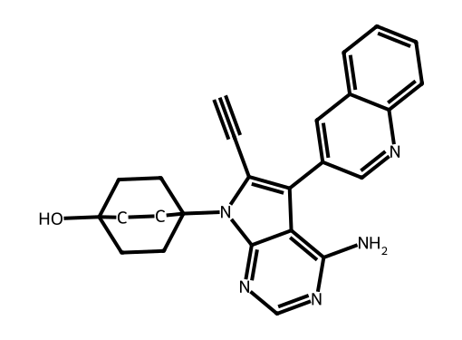 C#Cc1c(-c2cnc3ccccc3c2)c2c(N)ncnc2n1C12CCC(O)(CC1)CC2